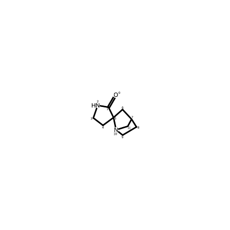 O=C1NCCC12CC1CCN2C1